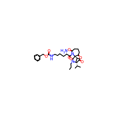 CCCN(C(=O)[C@@]1(C(C)C)C(=O)CCCC(=O)N1C(=O)[C@@H](N)CCCCNC(=O)OCc1ccccc1)[C@H](C=O)C(C)C